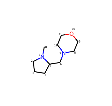 CN1CCCC1CN1CCOCC1